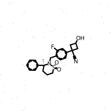 C[C@@]1(c2ccccc2)CCCS(=O)(=O)N1Cc1ccc(C2(C#N)CC(O)C2)cc1F